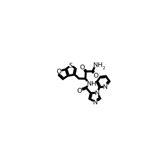 NC(=O)C(=O)C(Cc1csc2occc12)NC(=O)c1cncn1-c1ccccn1